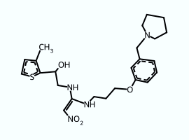 Cc1ccsc1C(O)CN/C(=C/[N+](=O)[O-])NCCCOc1cccc(CN2CCCCC2)c1